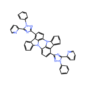 c1ccc(-n2nc(-c3ccc4c5c3c3ccccc3n5c3ccc(-c5nc(-c6ccccn6)n(-c6ccccc6)n5)c5c6ccccc6n4c53)nc2-c2ccccn2)cc1